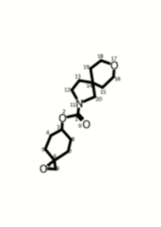 O=C(OC1CCC2(CC1)CO2)N1CCC2(CCOCC2)C1